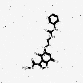 COC(=O)c1noc2c1C(=O)C(SCCNC(=O)Oc1ccccc1)=CC2=O